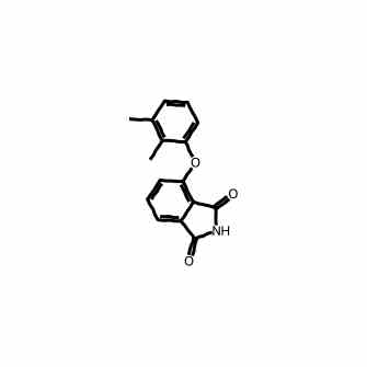 Cc1cccc(Oc2cccc3c2C(=O)NC3=O)c1C